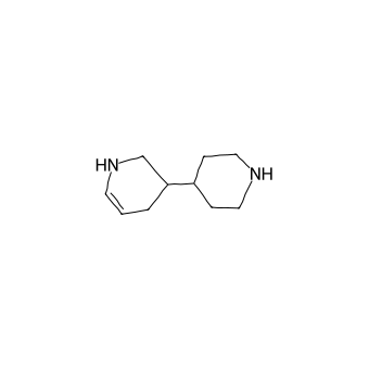 C1=CNCC(C2CCNCC2)C1